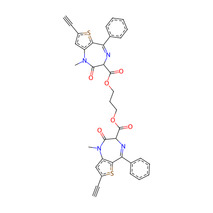 C#Cc1cc2c(s1)C(c1ccccc1)=NC(C(=O)OCCCOC(=O)C1N=C(c3ccccc3)c3sc(C#C)cc3N(C)C1=O)C(=O)N2C